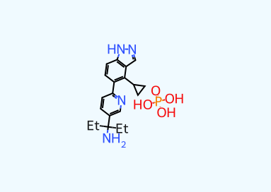 CCC(N)(CC)c1ccc(-c2ccc3[nH]ncc3c2C2CC2)nc1.O=P(O)(O)O